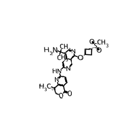 C[C@@H]1COC(=O)c2ccc(Nc3cc4c(C(C)(C)N)cnc(O[C@H]5C[C@@H](S(C)(=O)=O)C5)c4cn3)nc21